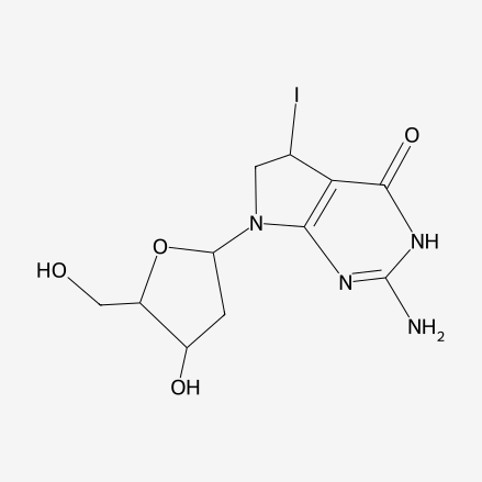 Nc1nc2c(c(=O)[nH]1)C(I)CN2C1CC(O)C(CO)O1